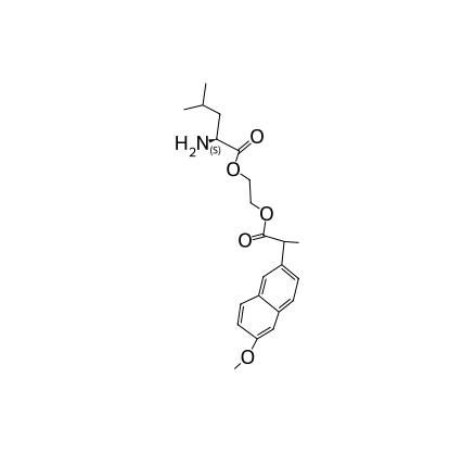 COc1ccc2cc(C(C)C(=O)OCCOC(=O)[C@@H](N)CC(C)C)ccc2c1